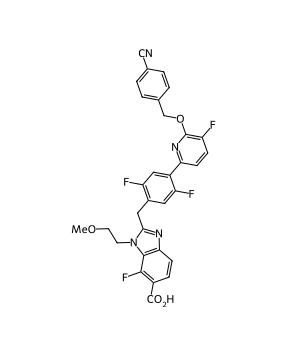 COCCn1c(Cc2cc(F)c(-c3ccc(F)c(OCc4ccc(C#N)cc4)n3)cc2F)nc2ccc(C(=O)O)c(F)c21